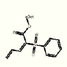 C=CC=C(C(=O)OCCCCCCCC)S(=O)(=O)c1ccccc1